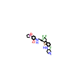 COc1cc(P2(=O)CCCC2)ccc1NCC#Cc1sc2c(NC3CCN(C)CC3F)cccc2c1CC(F)(F)F